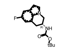 CC(C)(C)OC(=O)N[C@@H]1Cc2cc(F)cc3ccn(c23)C1